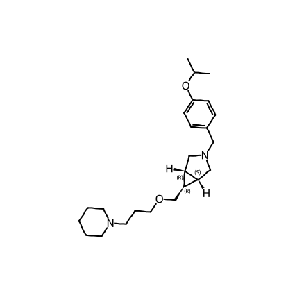 CC(C)Oc1ccc(CN2C[C@@H]3[C@@H](COCCCN4CCCCC4)[C@@H]3C2)cc1